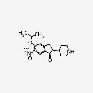 CC(C)Oc1cc2c(cc1[N+](=O)[O-])C(=O)C(C1CCNCC1)C2